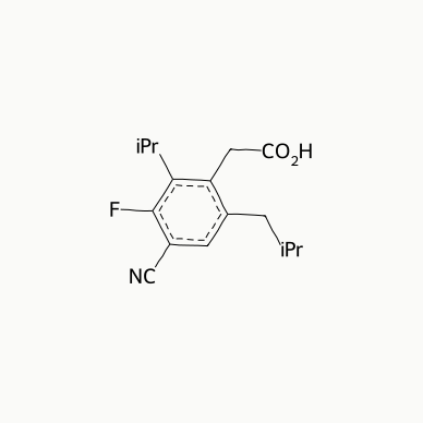 CC(C)Cc1cc(C#N)c(F)c(C(C)C)c1CC(=O)O